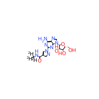 [2H]C([2H])([2H])NC(=O)c1cnn(-c2nc(N)c3ncn([C@@H]4O[C@H](CO)[C@@H](O)[C@H]4O)c3n2)c1